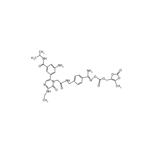 CCNc1ncc(-c2cc(N)cc(C(=O)NC(C)C)c2)n(CC(=O)NCc2ccc(/C(N)=N/OC(=O)OCc3oc(=O)oc3C)cc2)c1=O